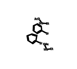 Brc1ccccc1.Brc1ccccc1.CCNOC(C)=O.CCNOC(C)=O